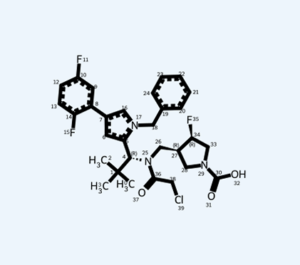 CC(C)(C)[C@H](c1cc(-c2cc(F)ccc2F)cn1Cc1ccccc1)N(C[C@@H]1CN(C(=O)O)C[C@@H]1F)C(=O)CCl